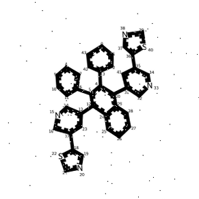 c1ccc(-c2c(-c3ccccc3)c(-c3cncc(-c4cncs4)c3)c3ccccc3c2-c2cncc(-c3cncs3)c2)cc1